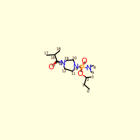 CCC(C)OP(=O)(N(C)C)N1CCN(C(=O)C(C)C)CC1